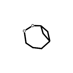 C1COOC2CC(C1)C2